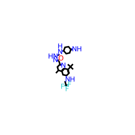 CC1CC(C2=NNC(NC3CCC(=N)CC3)O2)=NC2=C1CC(NCC(F)(F)F)C=C2C(C)(C)C